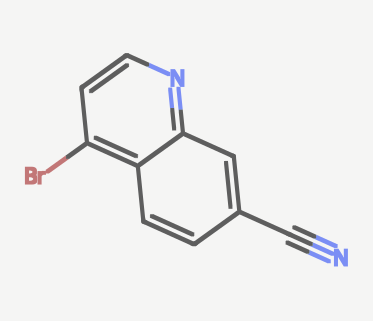 N#Cc1ccc2c(Br)ccnc2c1